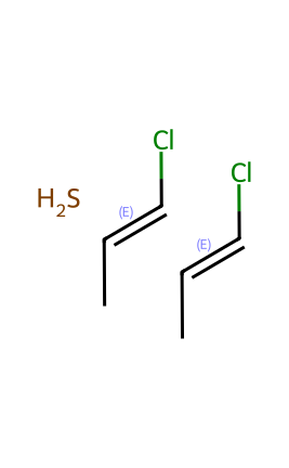 C/C=C/Cl.C/C=C/Cl.S